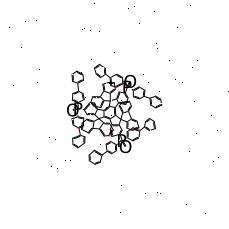 O=P(c1ccc(-c2ccccc2)cc1)(c1ccc(-c2ccccc2)cc1)c1ccc2c(c1)C1(c3ccccc3-c3ccccc31)c1c-2c2c(c3c1-c1ccc(P(=O)(c4ccc(-c5ccccc5)cc4)c4ccc(-c5ccccc5)cc4)cc1C31c3ccccc3-c3ccccc31)-c1ccc(P(=O)(c3ccc(-c4ccccc4)cc3)c3ccc(-c4ccccc4)cc3)cc1C21c2ccccc2-c2ccccc21